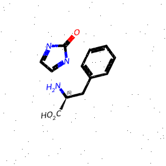 N[C@@H](Cc1ccccc1)C(=O)O.O=C1N=CC=N1